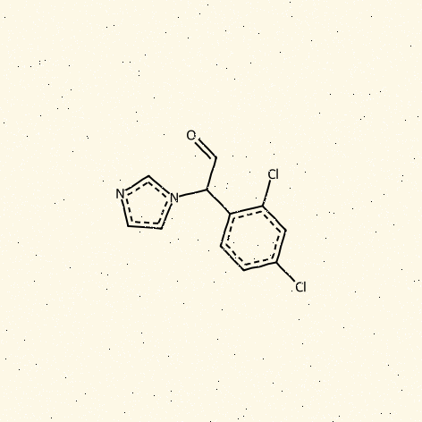 O=CC(c1ccc(Cl)cc1Cl)n1ccnc1